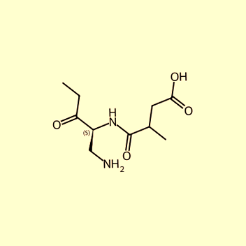 CCC(=O)[C@H](CN)NC(=O)C(C)CC(=O)O